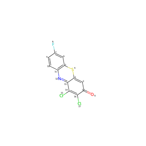 O=c1cc2sc3cc(F)ccc3nc-2c(Cl)c1Cl